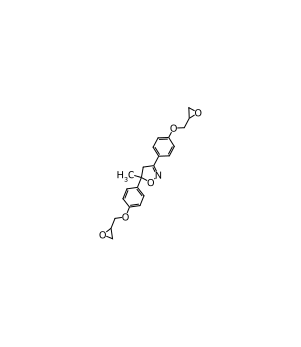 CC1(c2ccc(OCC3CO3)cc2)CC(c2ccc(OCC3CO3)cc2)=NO1